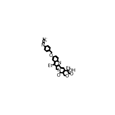 CCc1c2c(nc3ccc(OCc4ccc(N=[N+]=[N-])cc4)cc13)-c1cc3c(c(=O)n1C2)COC(=O)[C@]3(O)CC